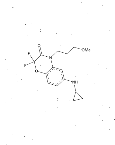 COCCCN1C(=O)C(F)(F)Oc2ccc(NC3CC3)cc21